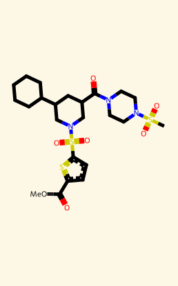 COC(=O)c1ccc(S(=O)(=O)N2CC(C(=O)N3CCN(S(C)(=O)=O)CC3)CC(C3CCCCC3)C2)s1